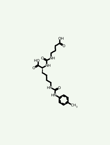 Cc1ccc(NC(=O)NCCCC[C@H](NC(=O)NCCCC(=O)O)C(=O)O)cc1